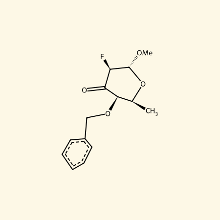 CO[C@@H]1O[C@@H](C)[C@@H](OCc2ccccc2)C(=O)[C@H]1F